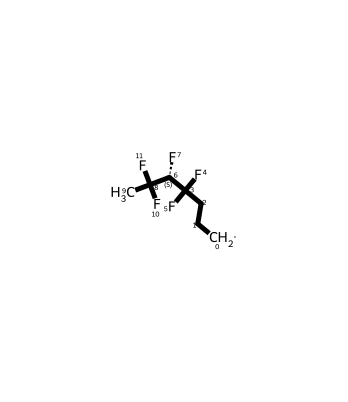 [CH2]CCC(F)(F)[C@@H](F)C(C)(F)F